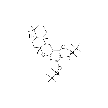 CC1(C)CCC[C@]2(C)C3=Cc4c(cc(O[Si](C)(C)C(C)(C)C)c(O[Si](C)(C)C(C)(C)C)c4Cl)O[C@]3(C)CC[C@@H]12